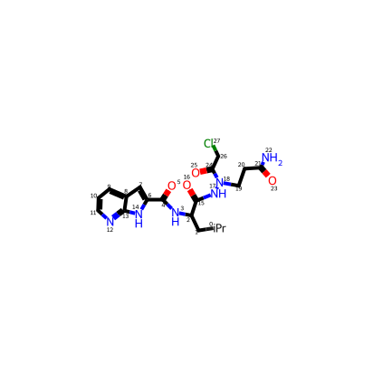 CC(C)CC(NC(=O)c1cc2cccnc2[nH]1)C(=O)NN(CCC(N)=O)C(=O)CCl